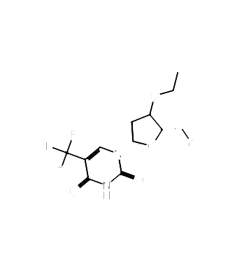 CCOC1C[C@@H](n2cc(C(F)(F)F)c(=O)[nH]c2=O)O[C@H]1CO